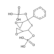 O=P(O)(O)OC(SC(OP(=O)(O)O)(c1ccccc1)C1CO1)C1CO1